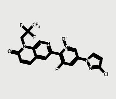 O=c1ccc2cc(-c3c(F)cc(-n4ccc(Cl)n4)c[n+]3[O-])ncc2n1CC(F)(F)C(F)(F)F